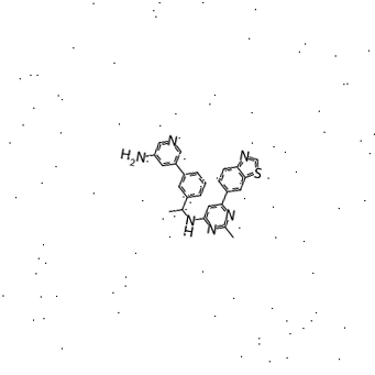 Cc1nc(NC(C)c2cccc(-c3cncc(N)c3)c2)cc(-c2ccc3ncsc3c2)n1